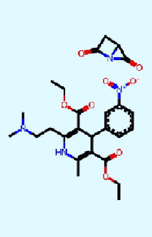 CCOC(=O)C1=C(C)NC(CCN(C)C)=C(C(=O)OCC)C1c1cccc([N+](=O)[O-])c1.O=C1CC2C(=O)N12